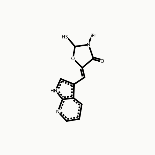 CC(C)N1C(=O)/C(=C/c2c[nH]c3ncccc23)OC1S